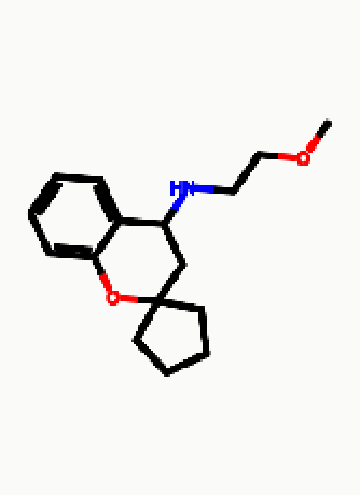 COCCNC1CC2(CCCC2)Oc2ccccc21